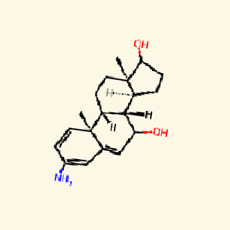 C[C@]12C=CC(N)=CC1=CC(O)[C@@H]1[C@H]2CC[C@]2(C)C(O)CC[C@@H]12